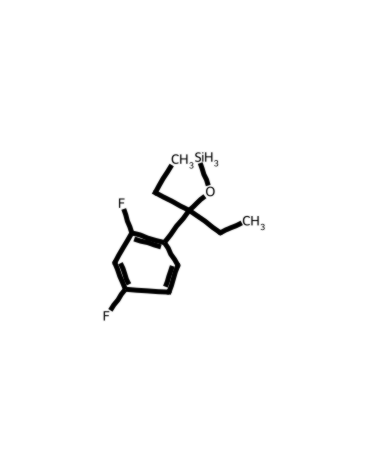 CCC(CC)(O[SiH3])c1ccc(F)cc1F